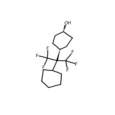 O[C@H]1CC[C@@H](C(C2CCCCC2)(C(F)(F)F)C(F)(F)F)CC1